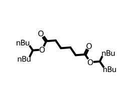 CCCCC(CCCC)OC(=O)CCCCC(=O)OC(CCCC)CCCC